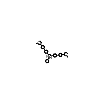 C=C/C=C(\C=C/C)c1ccc(-c2ccc(-c3cc(-c4ccc(-c5ccc(C(/C=C\C)=C/C=C)cc5)cc4)nc(-c4ccccc4)n3)cc2)cc1